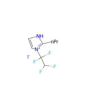 CCCc1[nH]cc[n+]1C(F)(F)C(F)F.[I-]